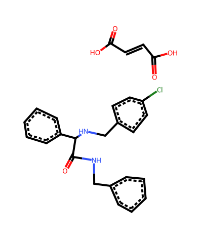 O=C(NCc1ccccc1)C(NCc1ccc(Cl)cc1)c1ccccc1.O=C(O)C=CC(=O)O